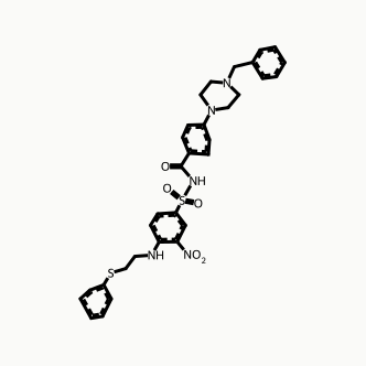 O=C(NS(=O)(=O)c1ccc(NCCSc2ccccc2)c([N+](=O)[O-])c1)c1ccc(N2CCN(Cc3ccccc3)CC2)cc1